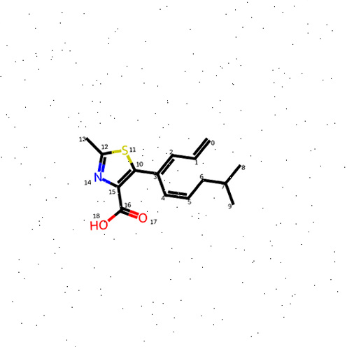 C=C/C=C(\C=C/CC(C)C)c1sc(C)nc1C(=O)O